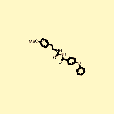 COc1ccc(CCNC(=O)NC(=O)c2ccc(Oc3ccccc3)cc2)cc1